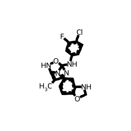 CC1=C2NOC(Nc3ccc(Cl)c(F)c3)(N=C1)N2c1ccc2c(c1)NCO2